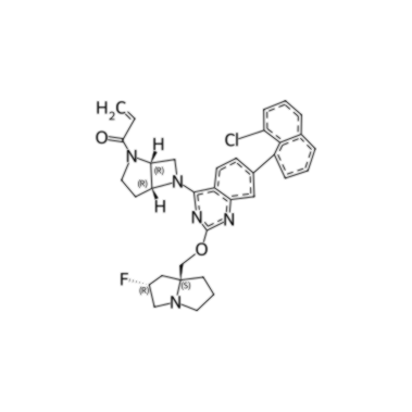 C=CC(=O)N1CC[C@@H]2[C@H]1CN2c1nc(OC[C@@]23CCCN2C[C@H](F)C3)nc2cc(-c3cccc4cccc(Cl)c34)ccc12